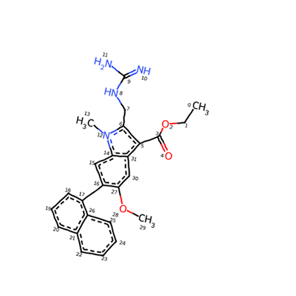 CCOC(=O)c1c(CNC(=N)N)n(C)c2cc(-c3cccc4ccccc34)c(OC)cc12